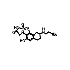 CC(C)(C)CCNC1CCc2cc(O)c(N3CC(=O)NS3(=O)=O)c(F)c2C1